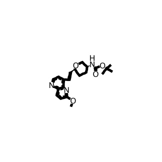 COc1ccc2nccc(/C=C/[C@@H]3CC[C@@H](NC(=O)OC(C)(C)C)CO3)c2n1